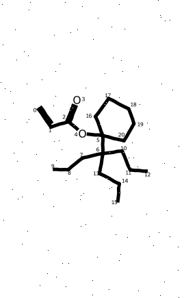 C=CC(=O)OC1(C(CCC)(CCC)CCC)CCCCC1